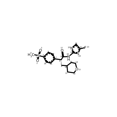 CS(=O)(=O)c1ccc([C@@H](CC2CCOCC2)C(=O)Nc2ncc(F)s2)cc1